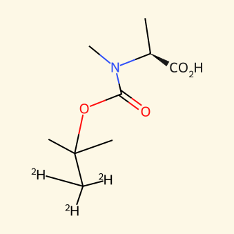 [2H]C([2H])([2H])C(C)(C)OC(=O)N(C)[C@@H](C)C(=O)O